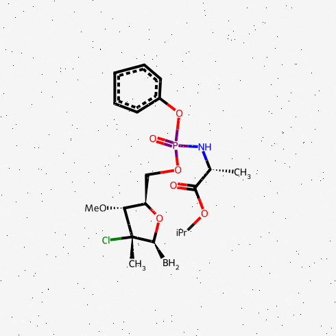 B[C@@H]1O[C@H](COP(=O)(N[C@H](C)C(=O)OC(C)C)Oc2ccccc2)[C@@H](OC)[C@@]1(C)Cl